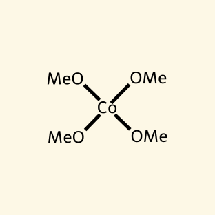 C[O][Co]([O]C)([O]C)[O]C